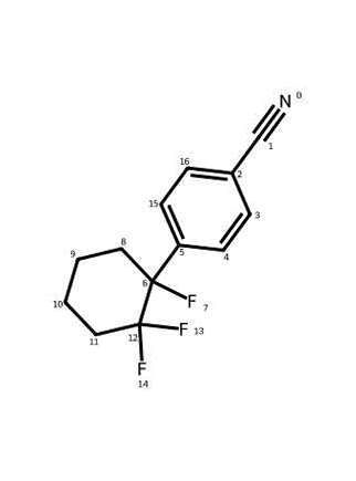 N#Cc1ccc(C2(F)CCCCC2(F)F)cc1